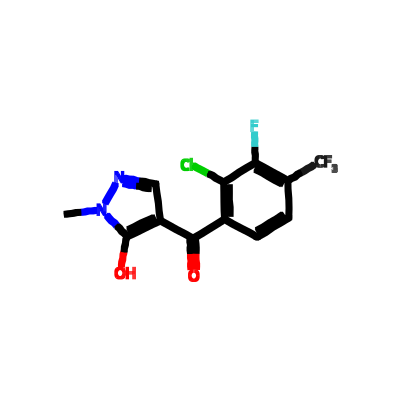 Cn1ncc(C(=O)c2ccc(C(F)(F)F)c(F)c2Cl)c1O